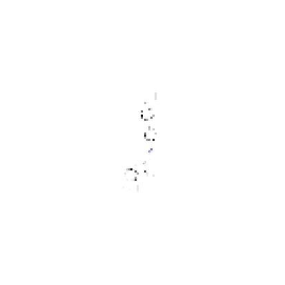 O=C(O)c1ccc(-c2ccc(/C=C/C=C3\Cc4ccc(O)cc4C3=O)cc2)cc1